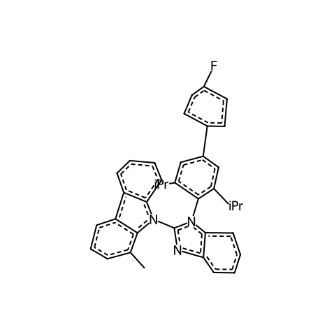 Cc1cccc2c3ccccc3n(-c3nc4ccccc4n3-c3c(C(C)C)cc(-c4ccc(F)cc4)cc3C(C)C)c12